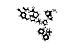 C#Cc1ccc(CN(CCOC(=O)O[C@H]2C[C@H](n3cnc4c(N)ncnc43)O[C@@H]2CO[Si](c2ccccc2)(c2ccccc2)C(C)(C)C)CC2CCCCN2C(=O)OCC=C)cc1